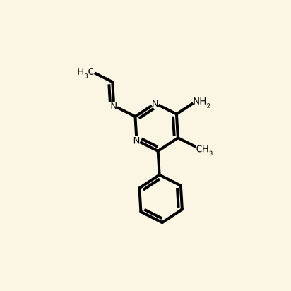 CC=Nc1nc(N)c(C)c(-c2ccccc2)n1